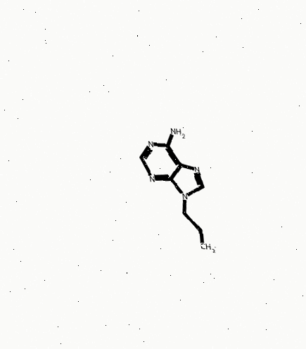 [CH2]CCn1cnc2c(N)ncnc21